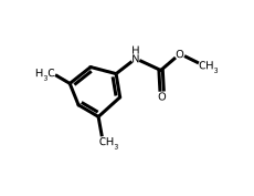 COC(=O)Nc1cc(C)cc(C)c1